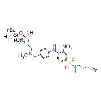 CCCC[Si](C)(C)O[Si](C)(C)CCCN(C)Cc1ccc(Nc2ccc(S(=O)(=O)NCCCC(C)C)cc2[N+](=O)[O-])cc1